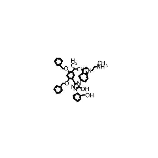 CNCCn1ccc2cc(-n3c(O)nnc3-c3cc(C(C)C)c(OCc4ccccc4)cc3OCc3ccccc3)ccc21.OCc1ccccc1